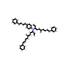 C=C\C(=C/C=C(C)/C=C/C=C/c1ccccc1)N(/C(C=C)=C/C=C(C)/C=C/C=C/c1ccccc1)c1ccc(/C=C/C=C/c2ccccc2)cc1